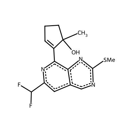 CSc1ncc2cc(C(F)F)nc(C3=CCCC3(C)O)c2n1